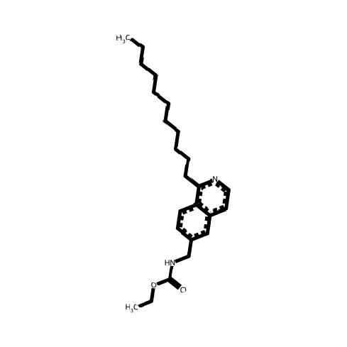 CCCCCCCCCCCc1nccc2cc(CNC(=O)OCC)ccc12